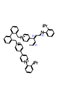 C\C=C/C(=C\C=N\c1ccccc1C(C)C)c1cc[n+](Cc2ccccc2-c2ccccc2C[n+]2ccc(-c3cc[n+](-c4ccccc4C(C)C)cc3)cc2)cc1